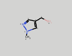 BCc1cnn(C)c1